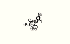 CC(C)(C)OC(=O)NC(Cc1ccc(Br)cc1I)C(=O)OC(C)(C)C